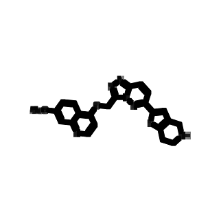 COc1ccc2c(OCc3nnc4ccc(-c5cc6c(s5)CCNC6)nn34)ccnc2c1